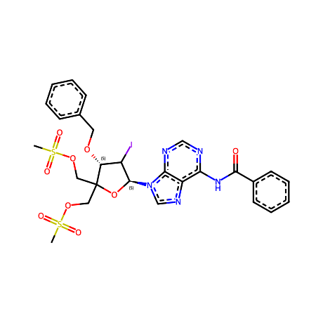 CS(=O)(=O)OCC1(COS(C)(=O)=O)O[C@H](n2cnc3c(NC(=O)c4ccccc4)ncnc32)C(I)[C@H]1OCc1ccccc1